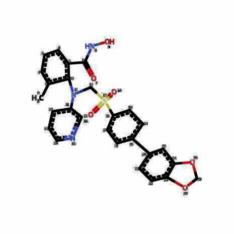 Cc1cccc(C(=O)NO)c1N(CS(=O)(=O)c1ccc(-c2ccc3c(c2)OCO3)cc1)c1cccnc1